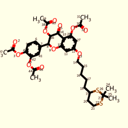 CC(=O)Oc1ccc(C2Oc3cc(OCCCCCC4CCSC(C)(C)S4)cc(OC(C)=O)c3C(=O)C2OC(C)=O)cc1OC(C)=O